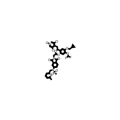 Cc1cccc(CN(c2ccc3c(c2)C(=O)N(CC(=O)OC(Cc2c(Cl)c[n+]([O-])cc2Cl)c2ccc(OC(F)F)c(OCC4CC4)c2)C3=O)S(C)(=O)=O)n1